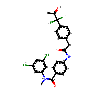 CC(=O)C(F)(F)c1ccc(CC(=O)Nc2ccc(C(=O)N(C)c3cc(Cl)cc(Cl)c3)cc2)cc1